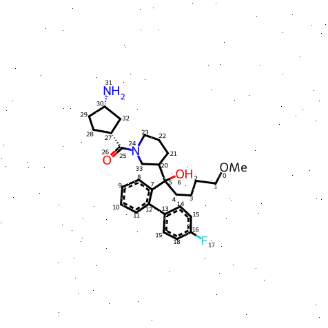 COCCCCC(O)(c1ccccc1-c1ccc(F)cc1)C1CCCN(C(=O)[C@@H]2CC[C@H](N)C2)C1